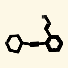 ON=Cc1ccccc1C#CC1CCOCC1